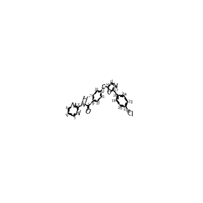 O=C(Nc1ncccn1)c1ccc(Oc2cnc(-c3ccc(Cl)cc3)o2)cc1